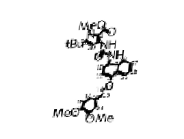 COC(=O)c1c(NC(=O)Nc2ccc(OCCc3ccc(OC)c(OC)c3)c3ccccc23)cc(C(C)(C)C)n1C